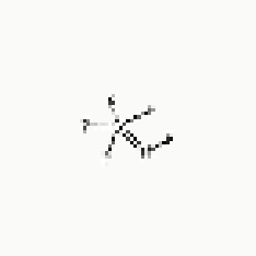 FN=S(F)(F)(F)F